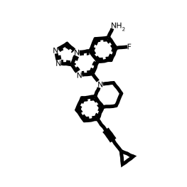 Nc1cc2c(cc1F)c(N1CCCc3c(C#CC4CC4)cccc31)nc1nncn12